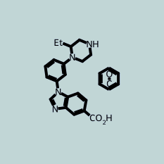 CCC1CNCCN1c1cccc(-n2cnc3cc(C(=O)O)ccc32)c1.c1cc2ccc1CO2